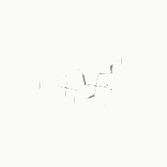 C=CCC(N)(C(=O)O)C(=O)OC(C)(C)C